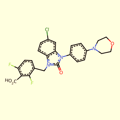 O=C(O)c1c(F)ccc(Cn2c(=O)n(-c3ccc(N4CCOCC4)cc3)c3cc(Cl)ccc32)c1F